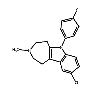 CN1CCc2c(n(-c3ccc(Cl)cc3)c3ccc(Cl)cc23)CC1